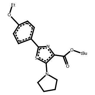 CCOc1ccc(-c2nc(C(=O)OC(C)(C)C)c(N3CCCC3)s2)cc1